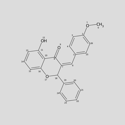 COc1ccc(C=C2C(=O)c3c(O)cccc3OC2c2ccccc2)cc1